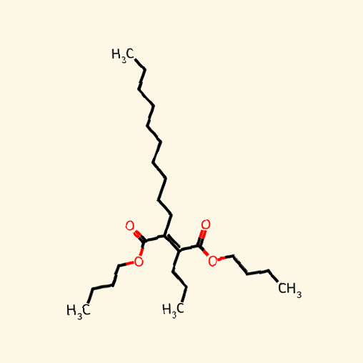 CCCCCCCCCCC(C(=O)OCCCC)=C(CCC)C(=O)OCCCC